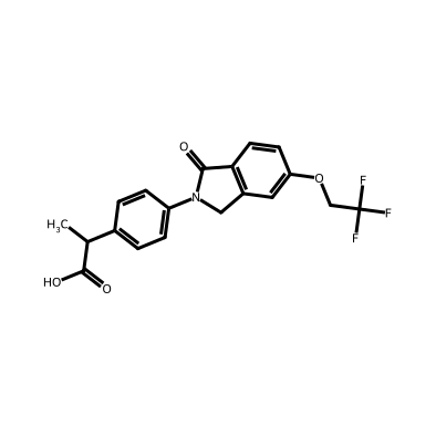 CC(C(=O)O)c1ccc(N2Cc3cc(OCC(F)(F)F)ccc3C2=O)cc1